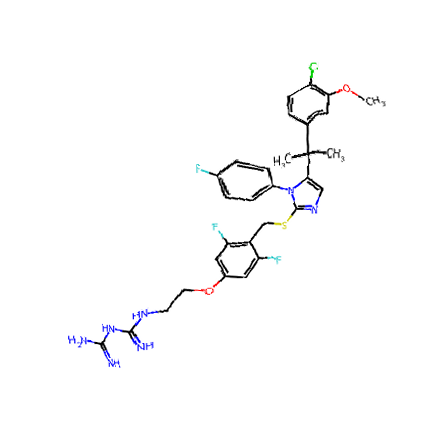 COc1cc(C(C)(C)c2cnc(SCc3c(F)cc(OCCNC(=N)NC(=N)N)cc3F)n2-c2ccc(F)cc2)ccc1Cl